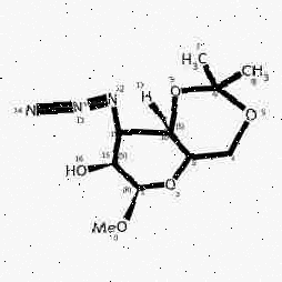 CO[C@@H]1OC2COC(C)(C)O[C@H]2C(N=[N+]=[N-])[C@@H]1O